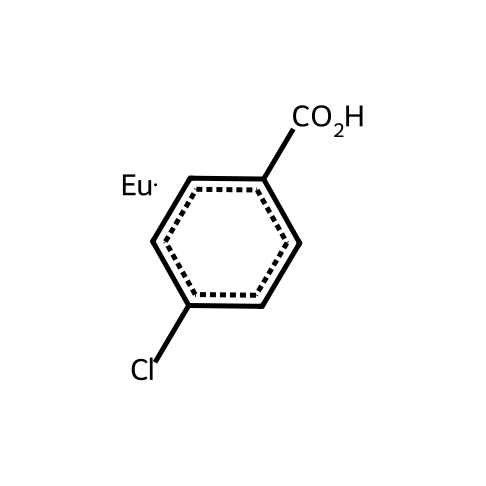 O=C(O)c1ccc(Cl)cc1.[Eu]